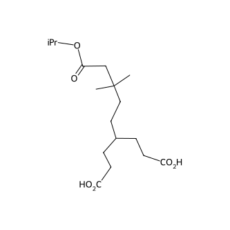 CC(C)OC(=O)CC(C)(C)CCC(CCC(=O)O)CCC(=O)O